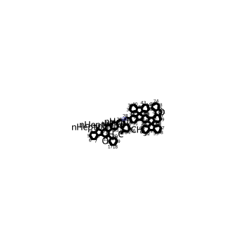 CCCCCCCC1(CCCCCCC)c2ccccc2-c2c1c1c(c3c2oc2ccccc23)-c2ccc(C/C(=C/c3ccc4c(c3)C3(c5ccccc5-c5ccccc53)c3cc5c(cc3-4)C3(c4ccccc4-c4ccccc43)c3ccc4oc6ccccc6c4c3-5)c3cc(C)cc(C)c3)cc2C1(CCCCCCC)CCCCCCC